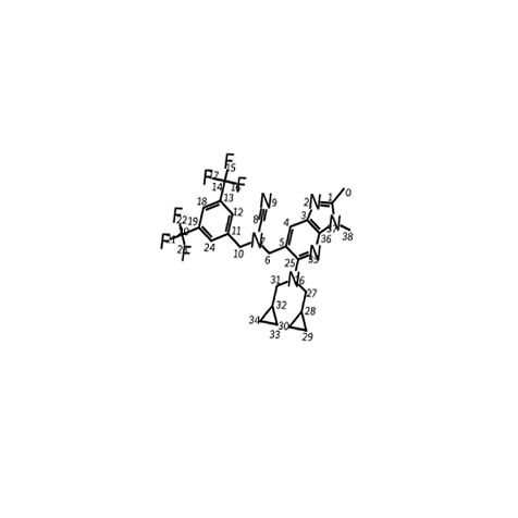 Cc1nc2cc(CN(C#N)Cc3cc(C(F)(F)F)cc(C(F)(F)F)c3)c(N(CC3CC3)CC3CC3)nc2n1C